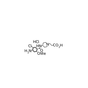 COc1cc(N)c(Cl)cc1C(=O)NC1CCN(CCC(=O)O)CC1.Cl